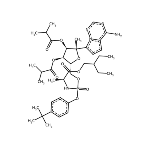 CCC(CC)COC(=O)[C@H](C)NP(=O)(OC[C@H]1O[C@@](C)(c2ccc3c(N)ncnn23)[C@H](OC(=O)C(C)C)[C@@H]1OC(=O)C(C)C)Oc1ccc(C(C)(C)C)cc1